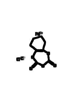 O=C1OC(=O)OC2=C(CCCC2)O1.[Cl-].[Cl-].[Pd+2]